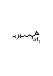 NCCCCC(N)C1CC1